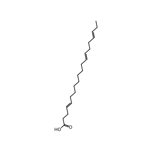 CCC=CCCC=CCCCCCCCC=CCCC(=O)O